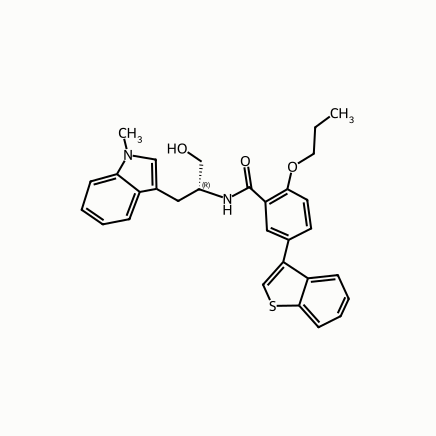 CCCOc1ccc(-c2csc3ccccc23)cc1C(=O)N[C@@H](CO)Cc1cn(C)c2ccccc12